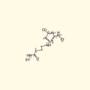 CCNC(=O)SCCNc1nc(Cl)nc(NCC)n1